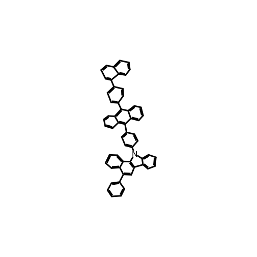 c1ccc(-c2cc3c4ccccc4n(-c4ccc(-c5c6ccccc6c(-c6ccc(-c7cccc8ccccc78)cc6)c6ccccc56)cc4)c3c3ccccc23)cc1